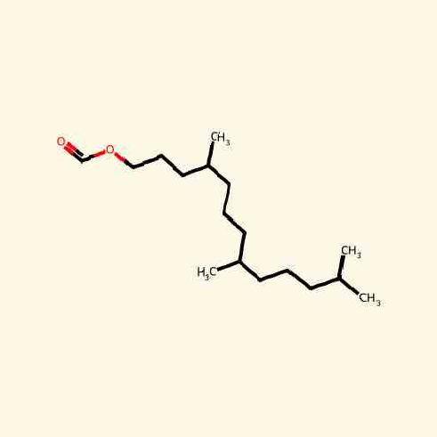 CC(C)CCCC(C)CCCC(C)CCCO[C]=O